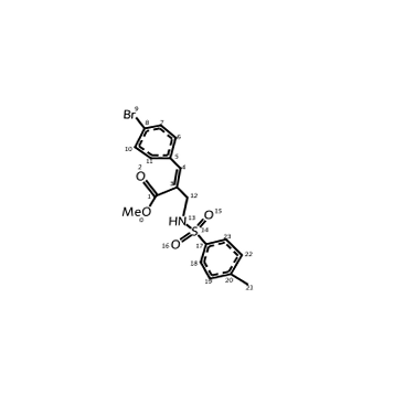 COC(=O)C(=Cc1ccc(Br)cc1)CNS(=O)(=O)c1ccc(C)cc1